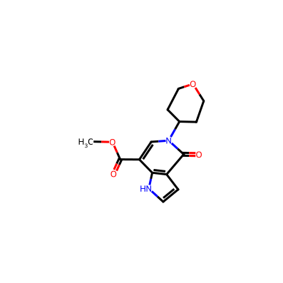 COC(=O)c1cn(C2CCOCC2)c(=O)c2cc[nH]c12